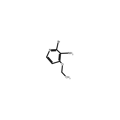 CCOc1ccnc(Br)c1N